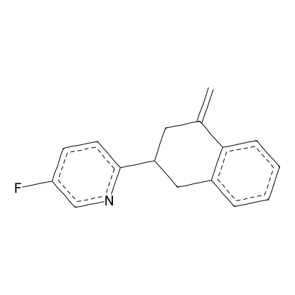 C=C1CC(c2ccc(F)cn2)Cc2ccccc21